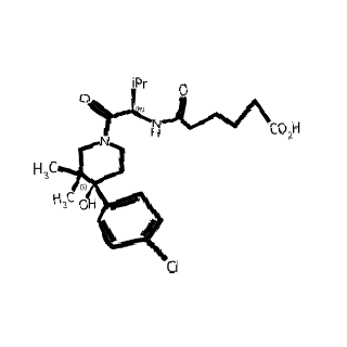 CC(C)[C@@H](NC(=O)CCCCC(=O)O)C(=O)N1CC[C@](O)(c2ccc(Cl)cc2)C(C)(C)C1